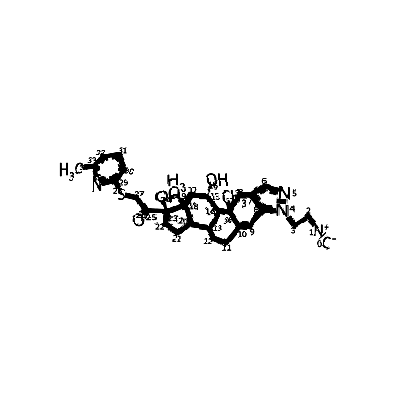 [C-]#[N+]CCn1ncc2c1C=C1CCC3C([C@@H](O)CC4(C)C3CC[C@]4(O)C(=O)CSc3cccc(C)n3)C1(C)C2